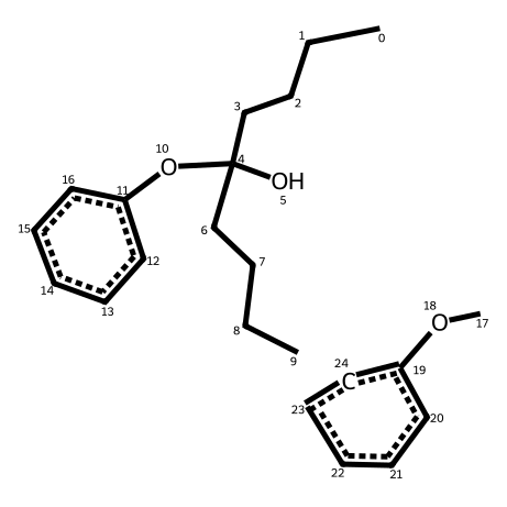 CCCCC(O)(CCCC)Oc1ccccc1.COc1ccccc1